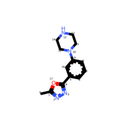 Cc1nnc(-c2cccc(N3CCNCC3)c2)o1